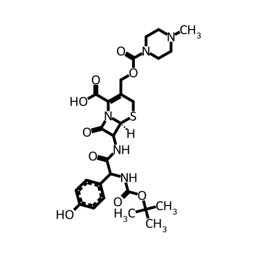 CN1CCN(C(=O)OCC2=C(C(=O)O)N3C(=O)C(NC(=O)C(NC(=O)OC(C)(C)C)c4ccc(O)cc4)[C@@H]3SC2)CC1